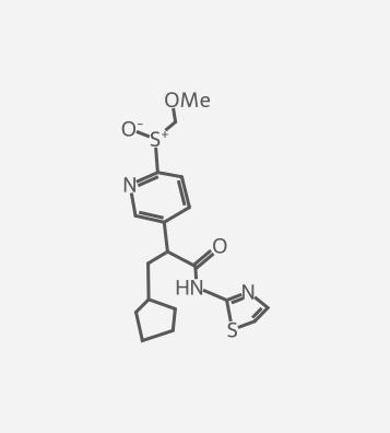 COC[S+]([O-])c1ccc(C(CC2CCCC2)C(=O)Nc2nccs2)cn1